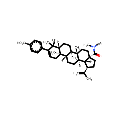 C=C(C)[C@@H]1CC[C@]2(C(=O)N(C)CCC)CC[C@]3(C)[C@H](CC[C@@H]4[C@@]5(C)CC=C(c6ccc(C(=O)O)cc6)C(C)(C)[C@@H]5CC[C@]43C)[C@@H]12